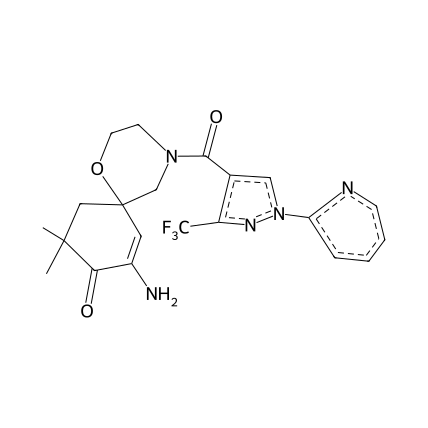 CC1(C)CC2(C=C(N)C1=O)CN(C(=O)c1cn(-c3ccccn3)nc1C(F)(F)F)CCO2